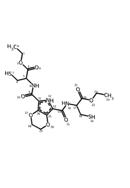 CCOC(=O)C(CS)NC(=O)c1[nH]c(C(=O)NC(CS)C(=O)OCC)c2c1OCCO2